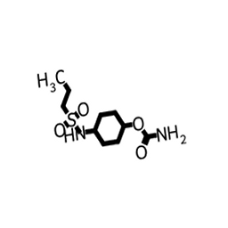 CCCS(=O)(=O)NC1CCC(OC(N)=O)CC1